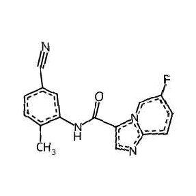 Cc1ccc(C#N)cc1NC(=O)c1cnc2ccc(F)cn12